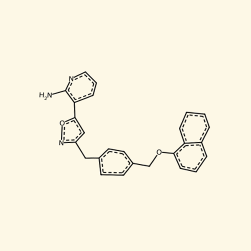 Nc1ncccc1-c1cc(Cc2ccc(COc3cccc4ccccc34)cc2)no1